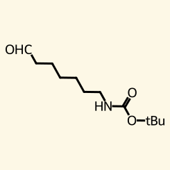 CC(C)(C)OC(=O)NCCCCCCC=O